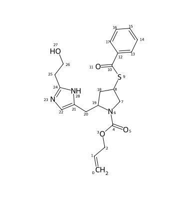 C=CCOC(=O)N1CC(SC(=O)c2ccccc2)CC1Cc1cnc(CCO)[nH]1